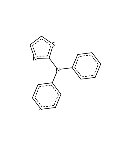 [c]1ccc(N(c2ccccc2)c2nccs2)cc1